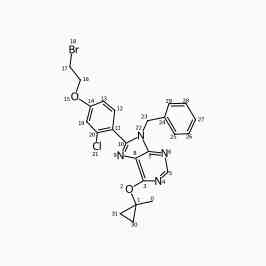 CC1(Oc2ncnc3c2nc(-c2ccc(OCCBr)cc2Cl)n3Cc2ccccc2)CC1